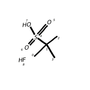 CC(C)(C)S(=O)(=O)O.F